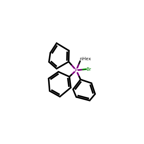 CCCCCCP(Br)(c1ccccc1)(c1ccccc1)c1ccccc1